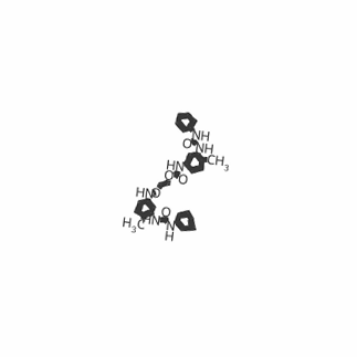 Cc1ccc(NOCCOC(=O)Nc2ccc(C)c(NC(=O)Nc3ccccc3)c2)cc1NC(=O)Nc1ccccc1